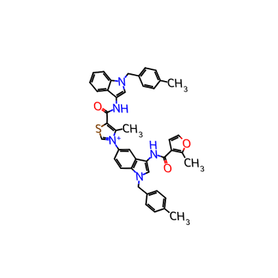 Cc1ccc(Cn2cc(NC(=O)c3ccoc3C)c3cc(-[n+]4csc(C(=O)Nc5cn(Cc6ccc(C)cc6)c6ccccc56)c4C)ccc32)cc1